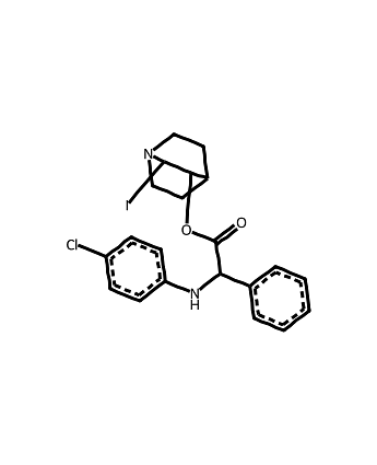 O=C(OC1C2CCN(CC2)C1I)C(Nc1ccc(Cl)cc1)c1ccccc1